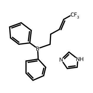 FC(F)(F)C=CCCB(c1ccccc1)c1ccccc1.c1c[nH]cn1